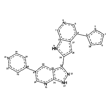 c1csc(-c2cncc3[nH]c(-c4n[nH]c5ncc(-c6ccncc6)cc45)cc23)c1